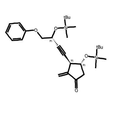 C=C1C(=O)C[C@@H](O[Si](C)(C)C(C)(C)C)[C@@H]1C#C[C@H](COc1ccccc1)O[Si](C)(C)C(C)(C)C